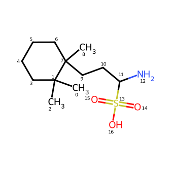 CC1(C)CCCCC1(C)CCC(N)S(=O)(=O)O